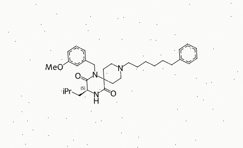 COc1cccc(CN2C(=O)[C@H](CC(C)C)NC(=O)C23CCN(CCCCCCc2ccccc2)CC3)c1